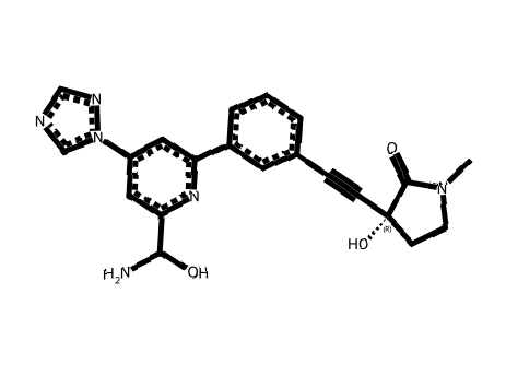 CN1CC[C@@](O)(C#Cc2cccc(-c3cc(-n4cncn4)cc(C(N)O)n3)c2)C1=O